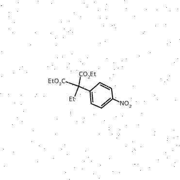 CCOC(=O)C(CC)(C(=O)OCC)c1ccc([N+](=O)[O-])cc1